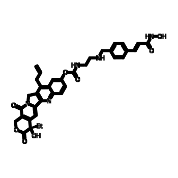 C=CCc1c2c(nc3ccc(OC(=O)NCCNCc4ccc(/C=C/C(=O)NO)cc4)cc13)-c1cc3c(c(=O)n1C2)COC(=O)[C@]3(O)CC